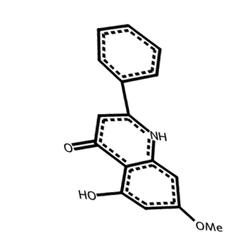 COc1cc(O)c2c(=O)cc(-c3ccccc3)[nH]c2c1